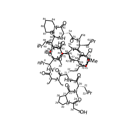 CCCC(NC(=O)C(C)N(C)C(=O)[C@H](CCCCNC)NC(=O)[C@H](CC(C)C)N(C)C(=O)C1CCCN1C(=O)CO)C(=O)N(C)C(CC(C)C)C(=O)N(C)C(CC(C)C)C(=O)N[C@@H](CC(=O)N(C)[C@@H](CC(C)C)C(=O)N(C)C(Cc1cccc(Cl)c1)C(=O)N[C@H](C(C)=O)[C@@H](C)CC)C(=O)N1CCCCC1